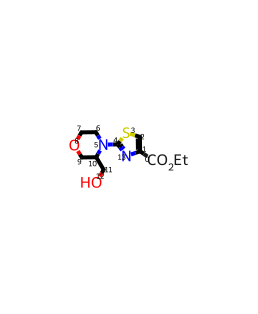 CCOC(=O)c1csc(N2CCOCC2CO)n1